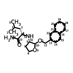 CC(C)C[C@H](N[C@H]1CCOC1OCc1ccc2ccccc2c1)C(N)=O